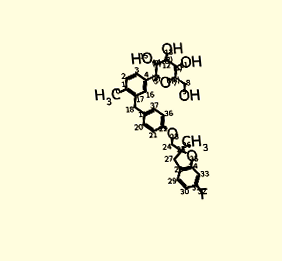 Cc1ccc([C@@H]2O[C@H](CO)[C@@H](O)[C@H](O)[C@H]2O)cc1Cc1ccc(OCC2(C)Cc3ccc(F)cc3O2)cc1